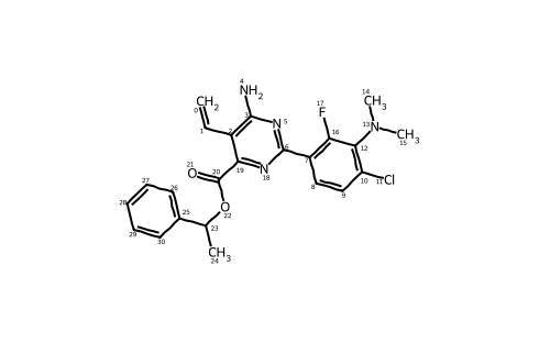 C=Cc1c(N)nc(-c2ccc(Cl)c(N(C)C)c2F)nc1C(=O)OC(C)c1ccccc1